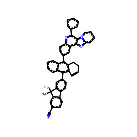 CC1(C)c2cc(C#N)ccc2-c2ccc(-c3c4c(c(-c5ccc6nc(-c7ccccc7)c7c(nc8ccccn87)c6c5)c5ccccc35)CCC=C4)cc21